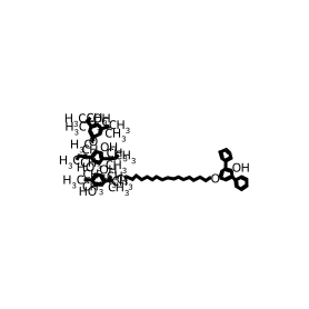 CC(C)(C)c1cc(O)c(C(C)(C)C)cc1O.CCC(C)(C)c1cc(O)c(C(C)(C)CC)cc1O.CCCCCCCCCCCCCCCCCCOc1cc(-c2ccccc2)c(O)c(-c2ccccc2)c1.COc1cc(C(C)(C)C)c(O)c(C(C)(C)C)c1